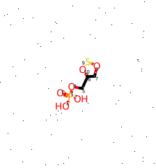 O=P(O)(O)OCC1COSO1